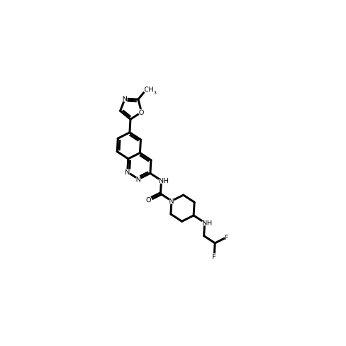 Cc1ncc(-c2ccc3nnc(NC(=O)N4CCC(NCC(F)F)CC4)cc3c2)o1